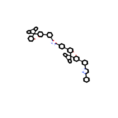 c1ccc(-c2ccc(-c3cccc(-c4ccc5c(c4)Oc4ccc(-c6ccc(-c7nnc(-c8cccc(-c9ccc%10c(c9)Oc9ccccc9C%109c%10ccccc%10-c%10ccccc%109)c8)o7)cc6)cc4C54c5ccccc5-c5ccccc54)c3)nn2)cc1